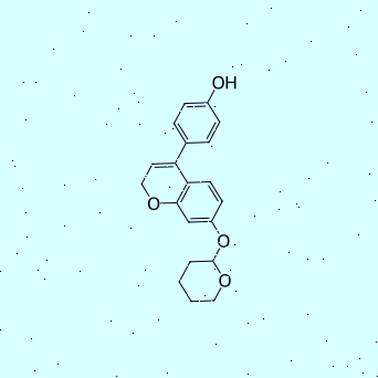 Oc1ccc(C2=CCOc3cc(OC4CCCCO4)ccc32)cc1